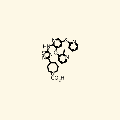 Cc1ncccc1Oc1cc(Sc2ccccn2)cnc1Nc1nc(C2CCCN(C(=O)O)CC2)ns1